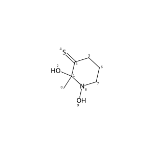 CC1(O)C(=S)CCCN1O